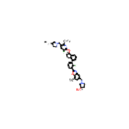 COc1nc(O[C@@H]2CCc3c(-c4cccc(-c5nc6cc(CN7CC[C@@H](O)C7)cc(C#N)c6o5)c4Cl)cccc32)c(Cl)cc1CN1CC[C@@H](C(=O)O)C1